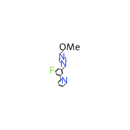 COCCN1CCN(Cc2cc(F)cc(-c3ccccn3)c2)CC1